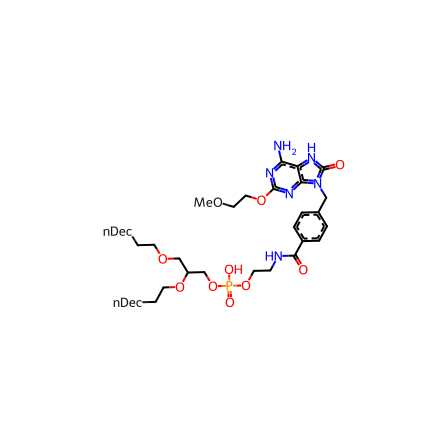 CCCCCCCCCCCCOCC(COP(=O)(O)OCCNC(=O)c1ccc(Cn2c(=O)[nH]c3c(N)nc(OCCOC)nc32)cc1)OCCCCCCCCCCCC